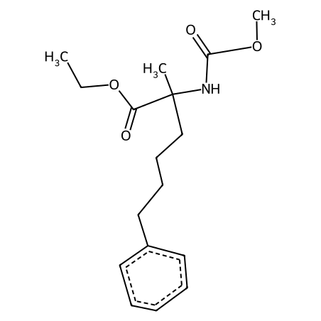 CCOC(=O)C(C)(CCCCc1ccccc1)NC(=O)OC